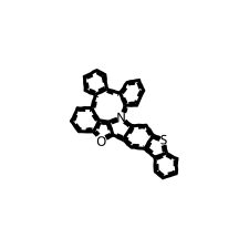 c1ccc2c(c1)sc1cc3c(cc12)c1oc2cccc4c5ccccc5c5ccccc5n3c1c24